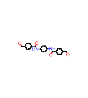 O=Cc1ccc(C(=O)Nc2ccc(NC(=O)c3ccc(C=O)cc3)cc2)cc1